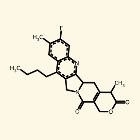 CCCCc1c2c(nc3cc(F)c(C)cc13)C1CC3=C(COC(=O)C3C)C(=O)N1C2